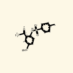 CSc1ccc(NS(=O)(=O)c2ccc(C)cc2)c(C(=O)C(F)(F)F)c1